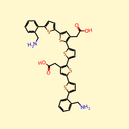 NCc1ccccc1-c1ccc(-c2cc(CC(=O)O)c(-c3ccc(-c4sc(-c5ccc(-c6ccccc6CN)s5)cc4CC(=O)O)s3)s2)s1